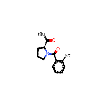 CCc1ccccc1C(=O)N1CCC[C@H]1C(=O)C(C)(C)C